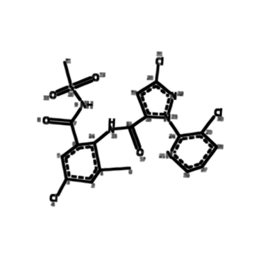 Cc1cc(Cl)cc(C(=O)NS(C)(=O)=O)c1NC(=O)c1cc(Cl)nn1-c1ncccc1Cl